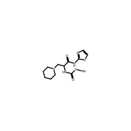 CC(C)(C)OC(=O)NC(CN1CCCCC1)C(=O)Nc1nccs1